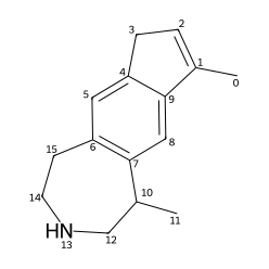 CC1=CCc2cc3c(cc21)C(C)CNCC3